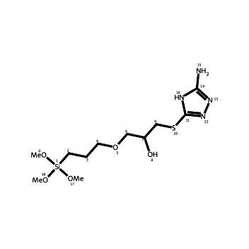 CO[Si](CCCOCC(O)CSc1nnc(N)[nH]1)(OC)OC